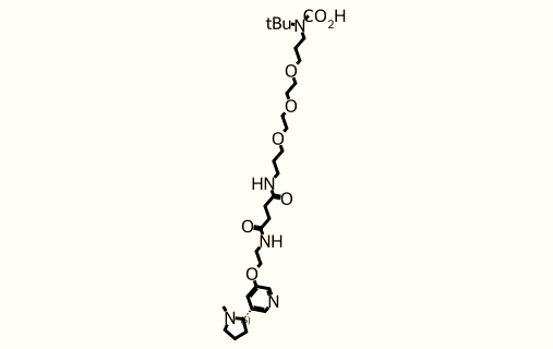 CN1CCC[C@H]1c1cncc(OCCNC(=O)CCC(=O)NCCCOCCOCCOCCCN(C(=O)O)C(C)(C)C)c1